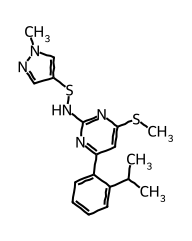 CSc1cc(-c2ccccc2C(C)C)nc(NSc2cnn(C)c2)n1